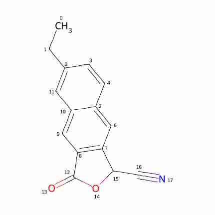 CCc1ccc2cc3c(cc2c1)C(=O)OC3C#N